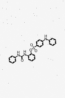 O=C(Nc1ccccc1)Nc1ccccc1OS(=O)(=O)c1ccc(Nc2ccccc2)cc1